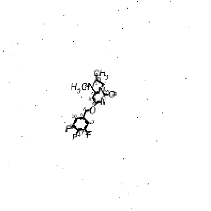 C[C@H]1Cn2c(cc(OCc3cc(F)c(F)c(F)c3)nc2=O)N1C